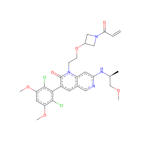 C=CC(=O)N1CC(OCCn2c(=O)c(-c3c(Cl)c(OC)cc(OC)c3Cl)cc3cnc(N[C@@H](C)COC)cc32)C1